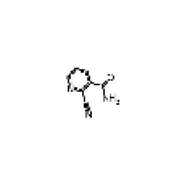 N#Cc1ncccc1C(N)=O